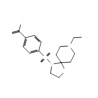 CCN1CCC2(CC1)OCCN2S(=O)(=O)c1ccc(C(C)=O)cc1